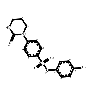 O=C1NCCCN1c1ccc(S(=O)(=O)Oc2ccc(F)cc2)cc1